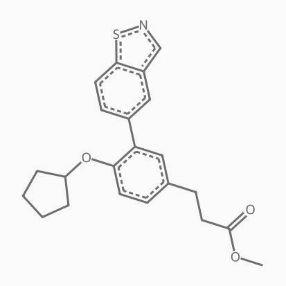 COC(=O)CCc1ccc(OC2CCCC2)c(-c2ccc3sncc3c2)c1